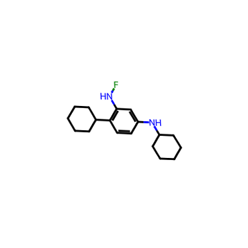 FNc1cc(NC2CCCCC2)ccc1C1CCCCC1